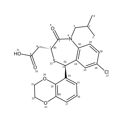 CC(C)CN1C(=O)[C@@H](CC(=O)O)S[C@H](c2cccc3c2OCCO3)c2cc(Cl)ccc21